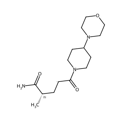 C[C@@H](C[CH]C(=O)N1CCC(N2CCOCC2)CC1)C(N)=O